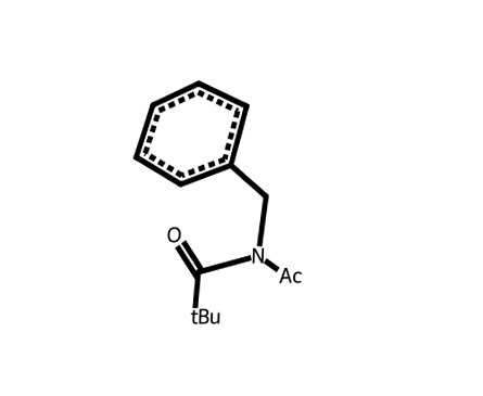 CC(=O)N(Cc1ccccc1)C(=O)C(C)(C)C